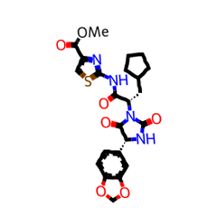 COC(=O)c1csc(NC(=O)[C@H](CC2CCCC2)N2C(=O)N[C@H](c3ccc4c(c3)OCO4)C2=O)n1